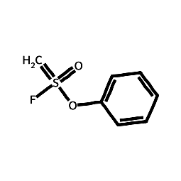 C=S(=O)(F)Oc1ccccc1